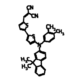 Cc1ccc(N(c2ccc3c(c2)C(C)(C)c2ccccc2-3)c2ccc(-c3ccc(C=C(C#N)C#N)s3)s2)cc1C